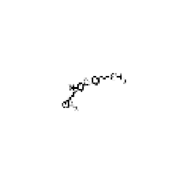 CCCCCCC[C@]1(C#N)CC[C@H](OC[C@H]2CC[C@H](CCCCC)CC2)CC1